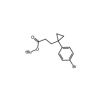 CC(C)(C)OC(=O)CCC1(c2ccc(Br)cc2)CC1